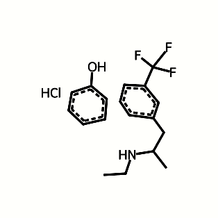 CCNC(C)Cc1cccc(C(F)(F)F)c1.Cl.Oc1ccccc1